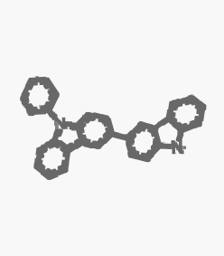 c1ccc(-n2c3ccccc3c3cc(-c4ccc5c(c4)-c4ccccc4[N]5)ccc32)cc1